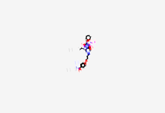 CCCCN1C(=O)[C@@H](CC2(O)CCCCC2)NC(=O)C12CCN(CCCCOc1ccc(C(=O)NC)cc1)CC2